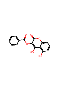 O=C(Oc1c(O)c2c(O)cccc2oc1=O)c1ccccc1